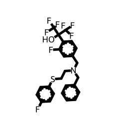 OC(c1ccc(CN(CCSc2ccc(F)cc2)Cc2ccccc2)cc1F)(C(F)(F)F)C(F)(F)F